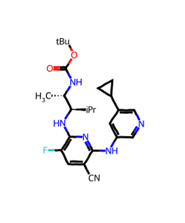 CC(C)[C@@H](Nc1nc(Nc2cncc(C3CC3)c2)c(C#N)cc1F)[C@H](C)NC(=O)OC(C)(C)C